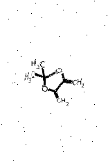 C=C1OC(C)(C)OC1=C